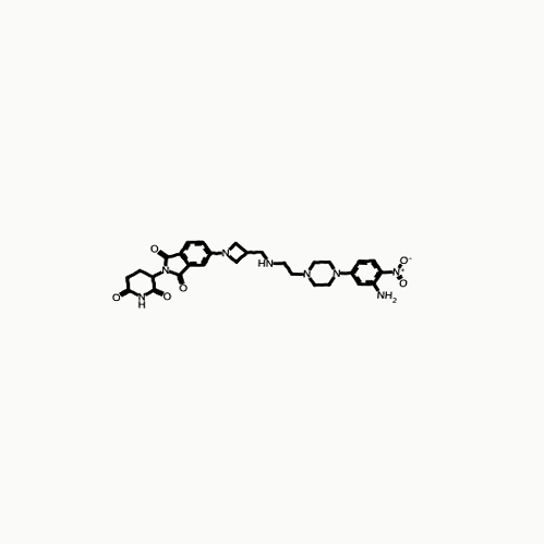 Nc1cc(N2CCN(CCNCC3CN(c4ccc5c(c4)C(=O)N(C4CCC(=O)NC4=O)C5=O)C3)CC2)ccc1[N+](=O)[O-]